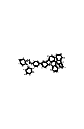 C1=CC2N=C(c3ccc(-c4ccc5c(c4)c4cccc6c4n5-c4ccccc4C64c5ccccc5-c5ccccc54)cc3)N(c3ccccc3)C2C=C1